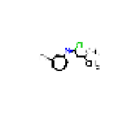 CCC1=CCC=CC(/N=C(/Cl)C=C(C)C)=C1